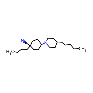 CCCCCC1CCN(C2CCC(C#N)(CCCC)CC2)CC1